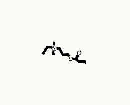 C=CC(=O)OCCC[Si](C)(C)CC